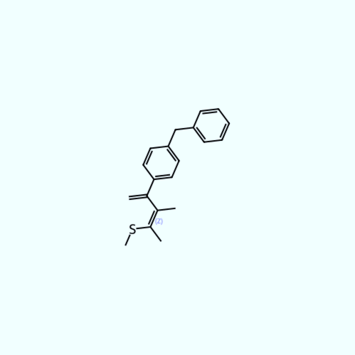 C=C(/C(C)=C(/C)SC)c1ccc(Cc2ccccc2)cc1